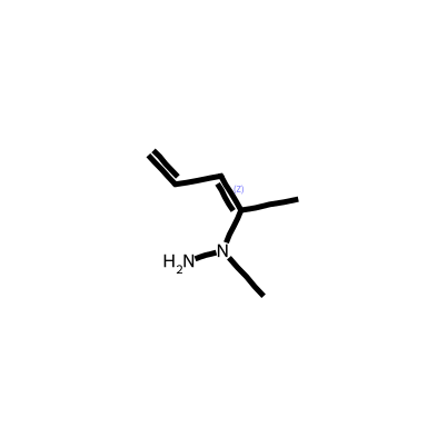 C=C/C=C(/C)N(C)N